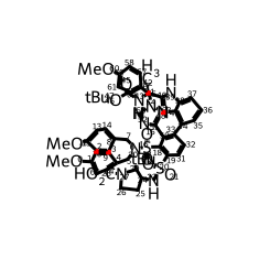 COc1ccc(CN(Cc2ccc(OC)cc2)S(=O)(=O)c2c(S(=O)(=O)NC3CCN(C(=O)O)C3C(C)(C)C)ccc(-c3cccc4[nH]c([C@H](C)NC(=O)OC(C)(C)C)nc34)c2-c2nnn(Cc3ccc(OC)cc3)n2)cc1